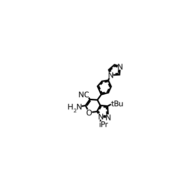 CC(C)n1nc(C(C)(C)C)c2c1OC(N)=C(C#N)C2c1ccc(-n2ccnc2)cc1